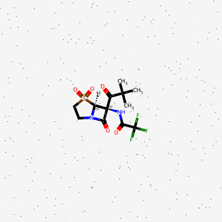 CC(C)(C)C(=O)[C@]1(NC(=O)C(F)(F)F)C(=O)N2CCS(=O)(=O)[C@H]21